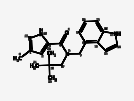 Cc1cc(C(=O)N(Cc2cccc3[nH]ccc23)CC(C)(C)C)[nH]n1